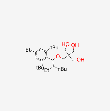 CCCCC(CC)C(OCC(CO)(CO)CO)c1c(C(C)(C)C)cc(CC)cc1C(C)(C)C